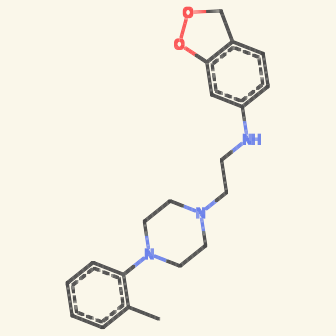 Cc1ccccc1N1CCN(CCNc2ccc3c(c2)OOC3)CC1